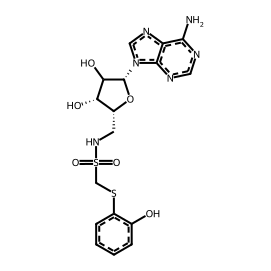 Nc1ncnc2c1ncn2[C@@H]1O[C@H](CNS(=O)(=O)CSc2ccccc2O)[C@H](O)C1O